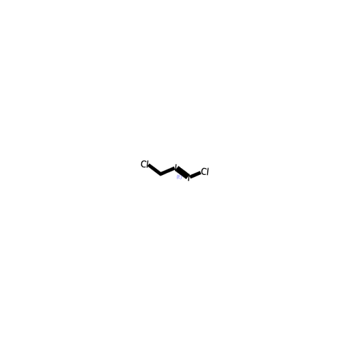 ClC/I=I/Cl